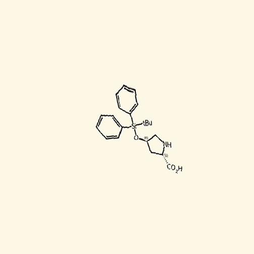 CC(C)(C)[Si](O[C@H]1CN[C@H](C(=O)O)C1)(c1ccccc1)c1ccccc1